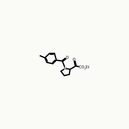 CCOC(=O)C(=O)C1CCCN1C(=O)c1ccc(C)cc1